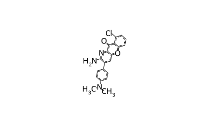 CN(C)c1ccc(-c2cc3oc4cccc(Cl)c4c(=O)c3nc2N)cc1